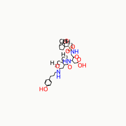 CC(C)C(CC(=O)NCCCc1ccc(O)cc1)C(=O)NC(CC(=O)O)C(=O)CNS(=O)(=O)CC12CCC(CC1=O)C2(C)C